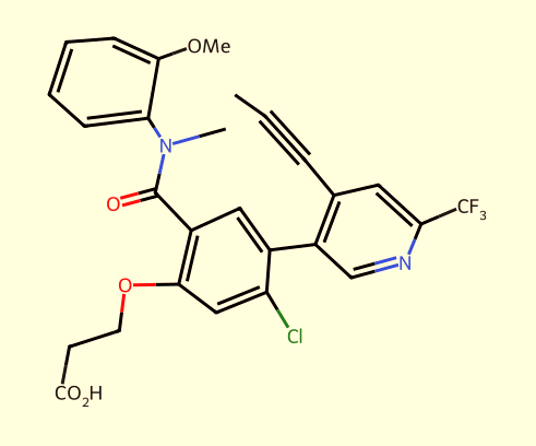 CC#Cc1cc(C(F)(F)F)ncc1-c1cc(C(=O)N(C)c2ccccc2OC)c(OCCC(=O)O)cc1Cl